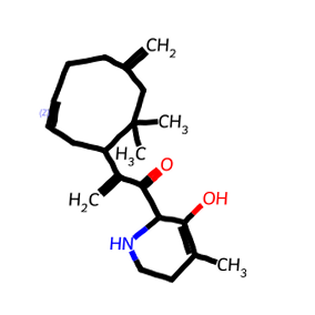 C=C1CC/C=C\CC(C(=C)C(=O)C2NCCC(C)=C2O)C(C)(C)C1